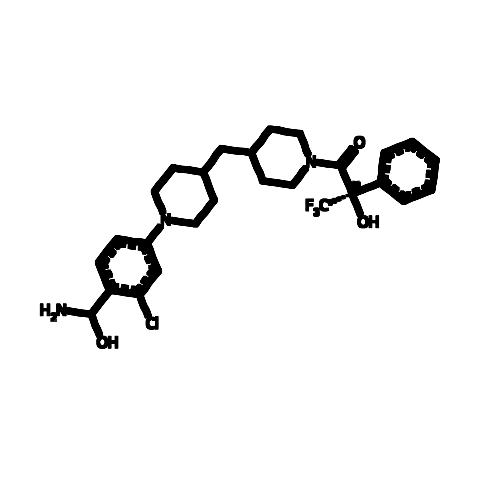 NC(O)c1ccc(N2CCC(CC3CCN(C(=O)[C@](O)(c4ccccc4)C(F)(F)F)CC3)CC2)cc1Cl